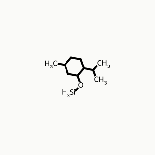 CC1CCC(C(C)C)C(O[SiH3])C1